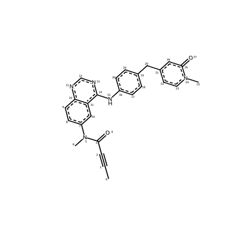 CC#CC(=O)N(C)c1ccc2ncnc(Nc3ccc(Cc4ccn(C)c(=O)c4)cc3)c2c1